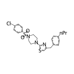 CCCc1ccc(Cc2csc(N3CCN(S(=O)(=O)c4ccc(Cl)cc4)CC3)n2)cc1